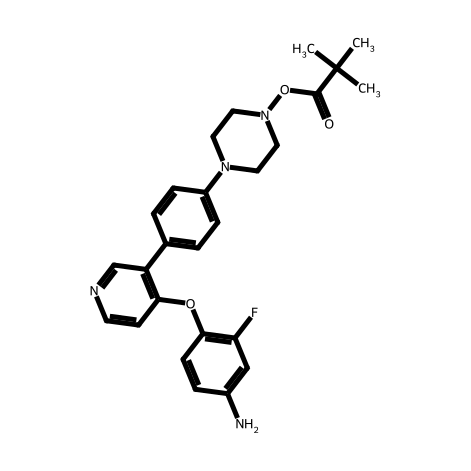 CC(C)(C)C(=O)ON1CCN(c2ccc(-c3cnccc3Oc3ccc(N)cc3F)cc2)CC1